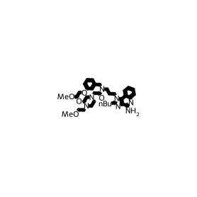 CCCCc1nc2c(N)nc3ccccc3c2n1CCCN(Cc1cccc(OCC(=O)OC)c1)C(=O)CN1CCN(CCOC)CC1